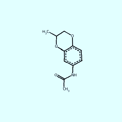 [CH2]C1COc2ccc(NC(C)=O)cc2O1